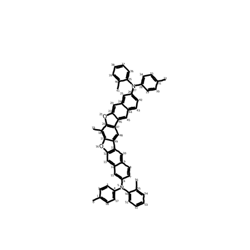 Cc1ccc(N(c2ccc3cc4c(cc3c2)oc2c(C)c3oc5cc6cc(N(c7ccc(C)cc7)c7ccccc7C)ccc6cc5c3cc24)c2ccccc2C)cc1